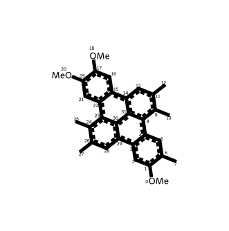 COc1cc2c(cc1C)c1c(C)c(C)cc3c4cc(OC)c(OC)cc4c4c(C)c(C)cc2c4c31